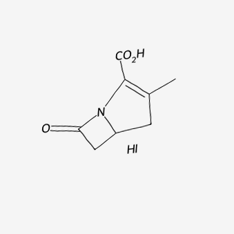 CC1=C(C(=O)O)N2C(=O)CC2C1.I